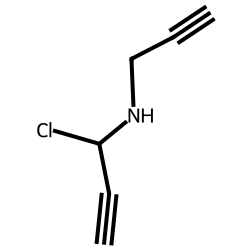 C#CCNC(Cl)C#C